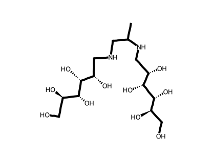 CC(CNC[C@H](O)[C@@H](O)[C@H](O)[C@H](O)CO)NC[C@H](O)[C@@H](O)[C@H](O)[C@H](O)CO